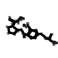 CC(NCc1ccc(NCC2CCCN2C(=O)OC(C)(C)C)c([N+](=O)[O-])c1)C(C)(C)C